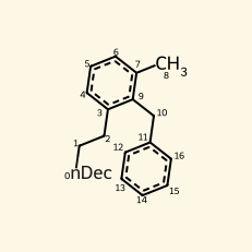 CCCCCCCCCCCCc1cccc(C)c1Cc1ccccc1